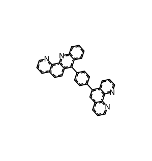 c1cnc2c(c1)cc(-c1ccc(-c3c4ccccc4nc4c3ccc3cccnc34)cc1)c1cccnc12